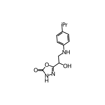 CC(C)c1ccc(NCC(O)c2n[nH]c(=O)o2)cc1